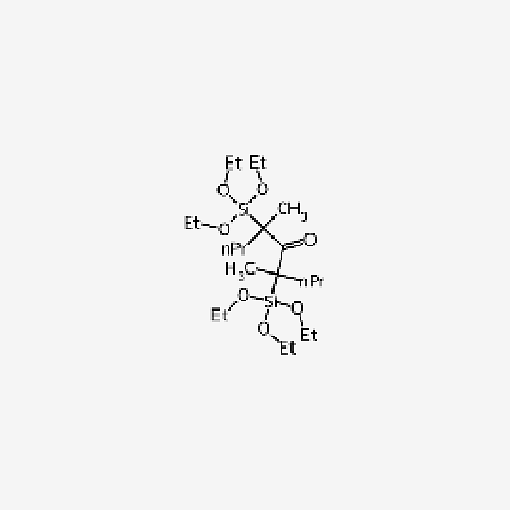 CCCC(C)(C(=O)C(C)(CCC)[Si](OCC)(OCC)OCC)[Si](OCC)(OCC)OCC